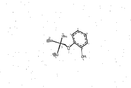 CC(C)(C)C(Oc1ccccc1O)(C(C)(C)C)C(C)(C)C